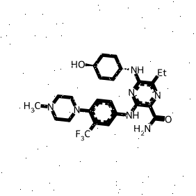 CCc1nc(C(N)=O)c(Nc2ccc(N3CCN(C)CC3)c(C(F)(F)F)c2)nc1N[C@H]1CC[C@H](O)CC1